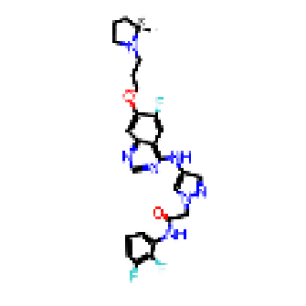 [CH2][C@@H]1CCCN1CCCOc1cc2ncnc(Nc3cnn(CC(=O)Nc4cccc(F)c4F)c3)c2cc1F